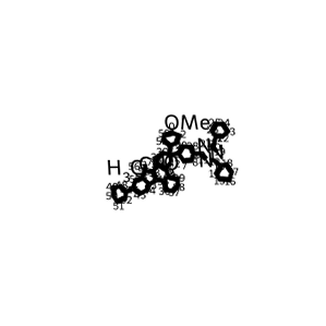 COc1ccc(C2(c3ccc(-c4nc(-c5ccccc5)nc(-c5ccccc5)n4)cc3)C=Cc3c4c(c5ccccc5c3O2)-c2ccc(-c3ccccc3)cc2C4(C)C)cc1